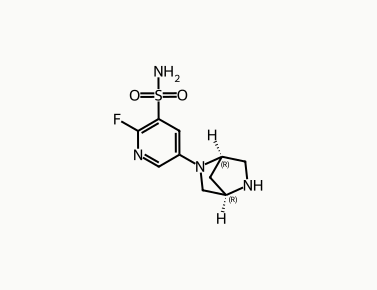 NS(=O)(=O)c1cc(N2C[C@H]3C[C@@H]2CN3)cnc1F